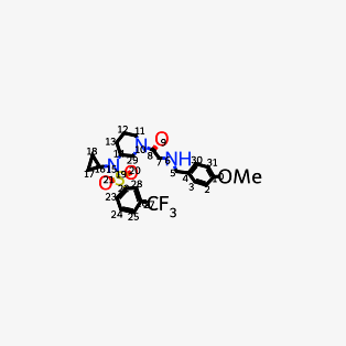 COc1ccc(CNCC(=O)N2CCCC(N(C3CC3)S(=O)(=O)c3cccc(C(F)(F)F)c3)C2)cc1